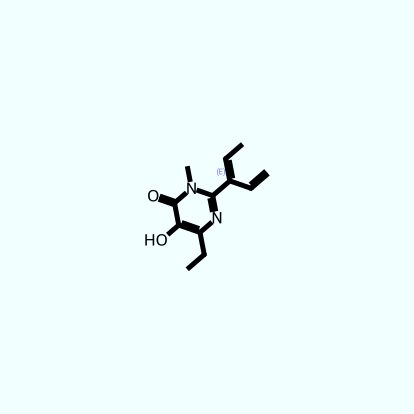 C=C/C(=C\C)c1nc(CC)c(O)c(=O)n1C